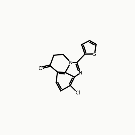 O=C1CCn2c(-c3cccs3)nc3c(Cl)ccc1c32